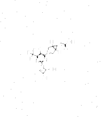 C[C@H]1[C@H](O)CN1c1nc(N2C[C@@H]3[C@@H](CC(=O)O)[C@@H]3C2)c(Cl)c(C(F)(F)F)n1